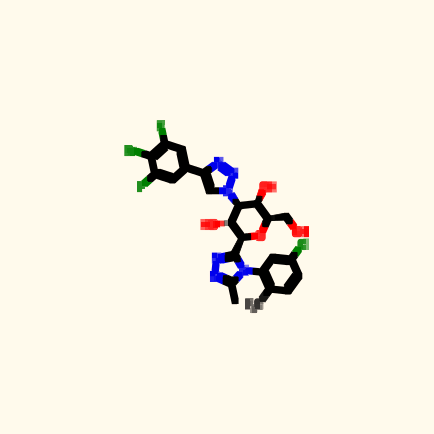 Cc1nnc([C@@H]2O[C@H](CO)[C@H](O)[C@H](n3cc(-c4cc(F)c(Br)c(F)c4)nn3)[C@H]2O)n1-c1cc(Cl)ccc1C(F)(F)F